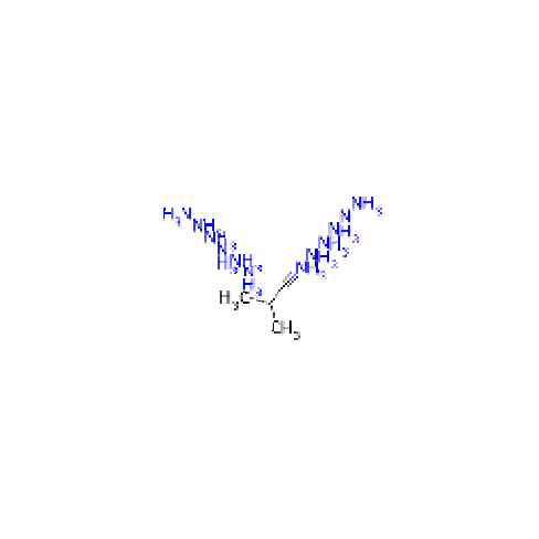 CC(C)C#N.N.N.N.N.N.N.N.N.N.N.N